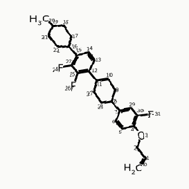 C=CCOc1ccc(C2CCC(c3ccc(C4CCC(C)CC4)c(F)c3F)CC2)cc1F